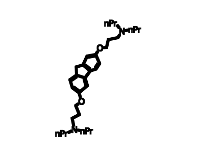 CCCN(CCC)CCCOc1ccc2c(c1)Cc1ccc(OCCCN(CCC)CCC)cc1-2